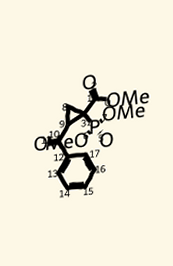 COC(=O)C1(P(=O)(OC)OC)CC1C(=O)c1ccccc1